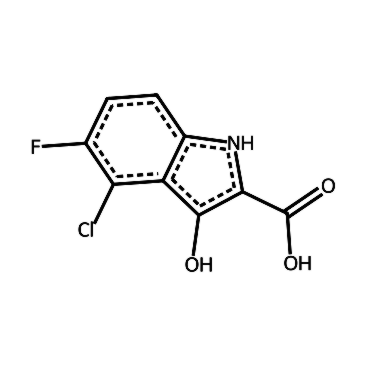 O=C(O)c1[nH]c2ccc(F)c(Cl)c2c1O